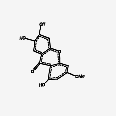 COc1cc(O)c2c(=O)c3cc(O)c(O)cc3oc2c1